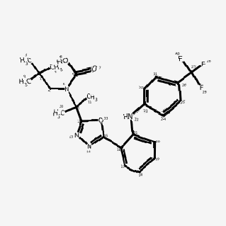 CC(C)(C)CN(C(=O)O)C(C)(C)c1nnc(-c2ccccc2Nc2ccc(C(F)(F)F)cc2)o1